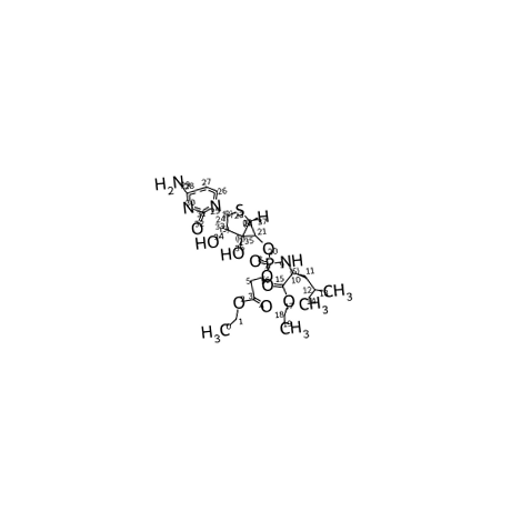 CCOC(=O)COP(=O)(N[C@@H](CC(C)C)C(=O)OCC)OC1[C@H]2S[C@@H](n3ccc(N)nc3=O)[C@@H](O)[C@@]12O